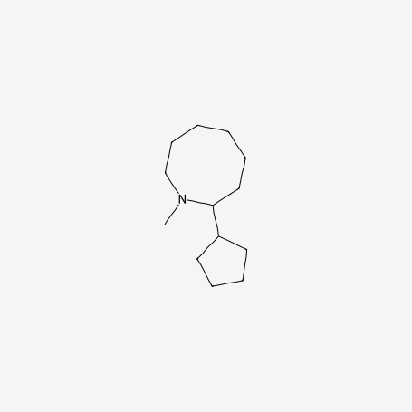 CN1CCCCCCC1C1CCCC1